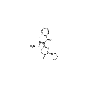 Cc1ccccc1C(=O)n1nc(N)c2cc(F)c(N3CCCC3)nc21